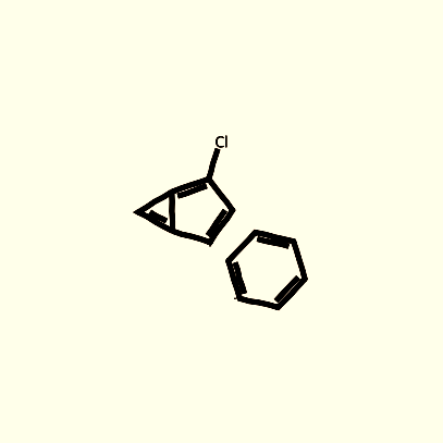 Clc1c[c]c2cc1-2.[c]1ccccc1